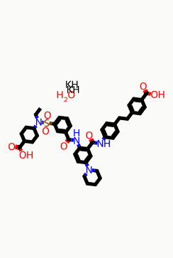 CCN(C1CCC(C(=O)O)CC1)S(=O)(=O)c1cccc(C(=O)Nc2ccc(N3CCCCC3)cc2C(=O)Nc2ccc(CCc3ccc(C(=O)O)cc3)cc2)c1.O.[KH].[KH]